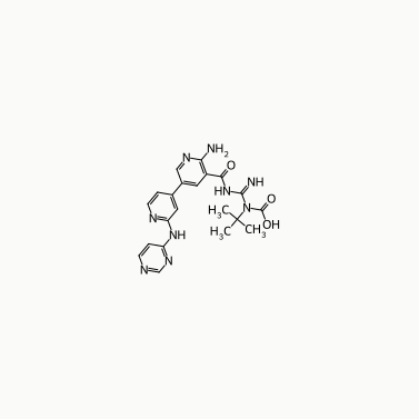 CC(C)(C)N(C(=N)NC(=O)c1cc(-c2ccnc(Nc3ccncn3)c2)cnc1N)C(=O)O